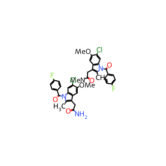 CNC(=O)Cc1c(C)n(C(=O)c2ccc(F)cc2)c2cc(Cl)c(OC)cc12.COc1cc2c(CC(N)=O)c(C)n(C(=O)c3ccc(F)cc3)c2cc1Cl